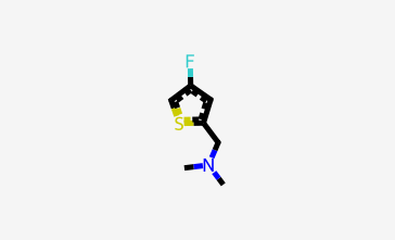 CN(C)Cc1cc(F)cs1